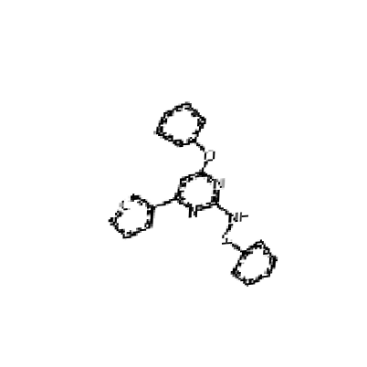 c1ccc(Oc2cc(-c3ccccc3)nc(NSc3ccccc3)n2)cc1